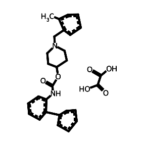 Cc1ccccc1CN1CCC(OC(=O)Nc2ccccc2-c2ccccc2)CC1.O=C(O)C(=O)O